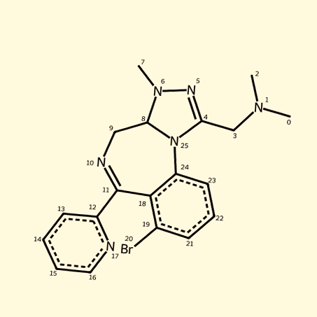 CN(C)CC1=NN(C)C2CN=C(c3ccccn3)c3c(Br)cccc3N12